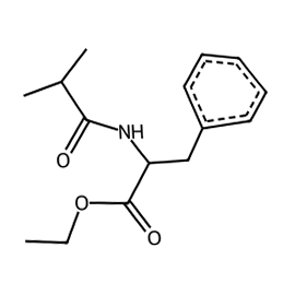 CCOC(=O)C(Cc1ccccc1)NC(=O)C(C)C